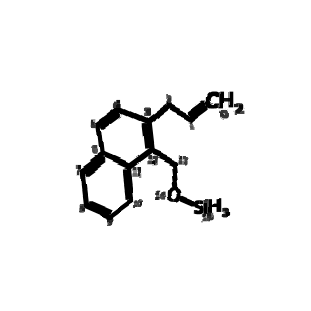 C=CCc1ccc2ccccc2c1CO[SiH3]